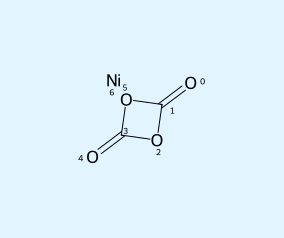 O=C1OC(=O)O1.[Ni]